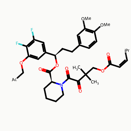 COc1ccc(CC[C@@H](OC(=O)[C@@H]2CCCCN2C(=O)C(=O)C(C)(C)COC(=O)/C=C\C(C)C)c2cc(F)c(F)c(OCC(C)=O)c2)cc1OC